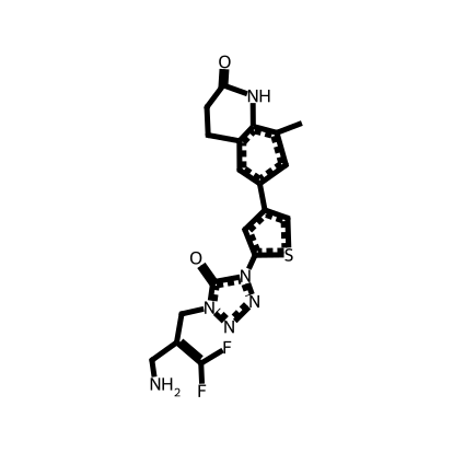 Cc1cc(-c2csc(-n3nnn(CC(CN)=C(F)F)c3=O)c2)cc2c1NC(=O)CC2